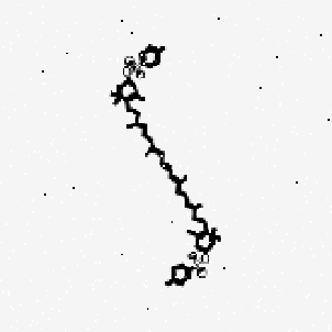 CC1=C(/C=C/C(C)=C/C=C/C(C)=C/C=C/C=C(C)/C=C/C=C(C)/C=C/C2=C(C)CC(OS(=O)(=O)c3ccc(C)cc3)CC2(C)C)C(C)(C)CC(OS(=O)(=O)c2ccc(C)cc2)C1